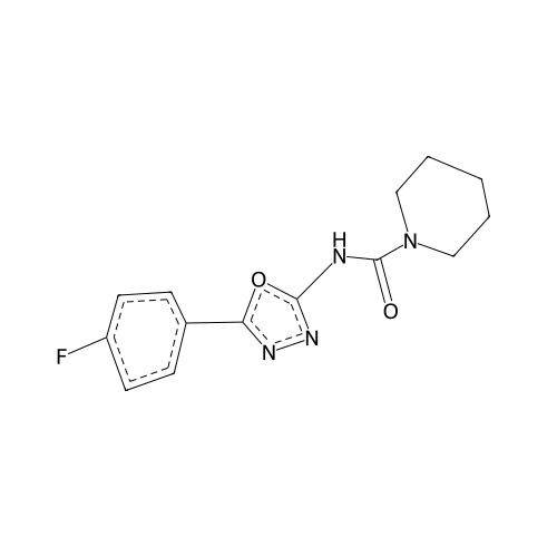 O=C(Nc1nnc(-c2ccc(F)cc2)o1)N1CCCCC1